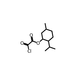 CC1CCC(C(C)C)C(OC(=O)C(=O)Cl)C1